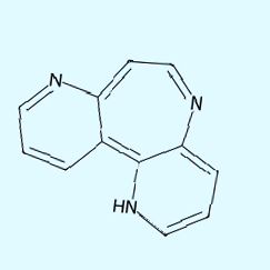 C1=CNC2=c3cccnc3=CC=NC2=C1